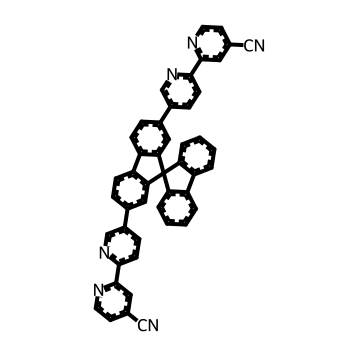 N#Cc1ccnc(-c2ccc(-c3ccc4c(c3)C3(c5ccccc5-c5ccccc53)c3cc(-c5ccc(-c6cc(C#N)ccn6)nc5)ccc3-4)cn2)c1